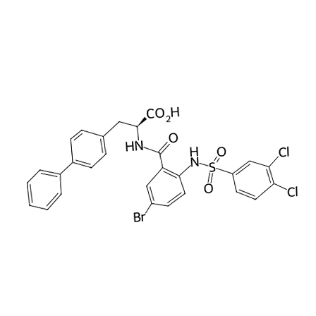 O=C(N[C@@H](Cc1ccc(-c2ccccc2)cc1)C(=O)O)c1cc(Br)ccc1NS(=O)(=O)c1ccc(Cl)c(Cl)c1